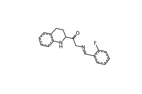 O=C(CN=Cc1ccccc1F)C1CCc2ccccc2N1